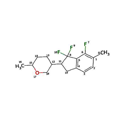 Cc1ccc2c(c1F)C(F)(F)C(C1CCC(C)OC1)C2